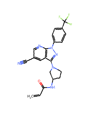 C=CC(=O)NC1CCN(c2nn(-c3ccc(C(F)(F)F)cc3)c3ncc(C#N)cc23)C1